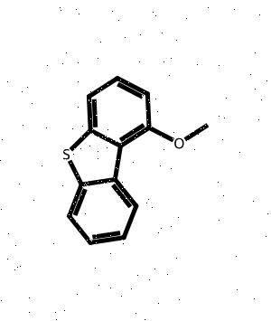 COc1cccc2sc3ccccc3c12